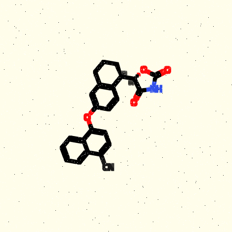 N#Cc1ccc(Oc2ccc3c(c2)CCC[C@H]3[C@@H]2OC(=O)NC2=O)c2ccccc12